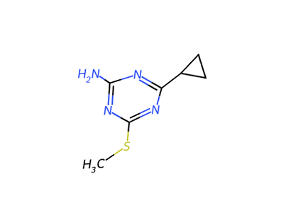 CSc1nc(N)nc(C2CC2)n1